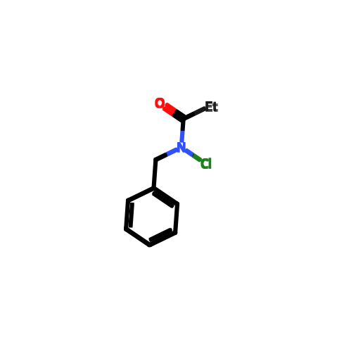 CCC(=O)N(Cl)Cc1ccccc1